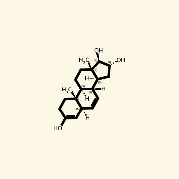 C[C@]12CCC(O)=C[C@@H]1C=C[C@@H]1[C@@H]2CC[C@]2(C)[C@@H](O)[C@H](O)C[C@@H]12